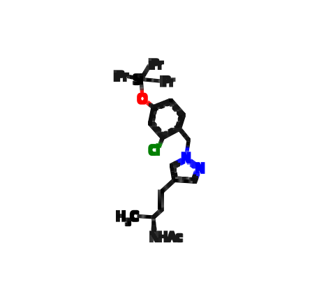 CC(=O)N[C@@H](C)/C=C/c1cnn(Cc2ccc(O[Si](C(C)C)(C(C)C)C(C)C)cc2Cl)c1